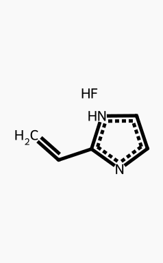 C=Cc1ncc[nH]1.F